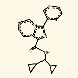 O=C(NC(C1CC1)C1CC1)c1nc(-c2cccnc2)n2ccccc12